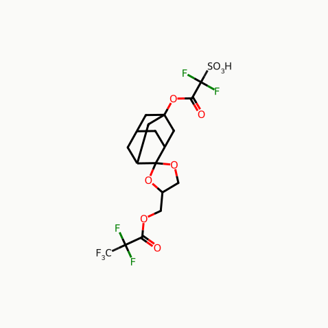 O=C(OCC1COC2(O1)C1CC3CC2CC(OC(=O)C(F)(F)S(=O)(=O)O)(C3)C1)C(F)(F)C(F)(F)F